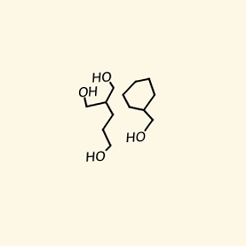 OCC1CCCCC1.OCCCC(CO)CO